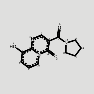 O=C(c1cnc2c(O)cccn2c1=O)N1CCCC1